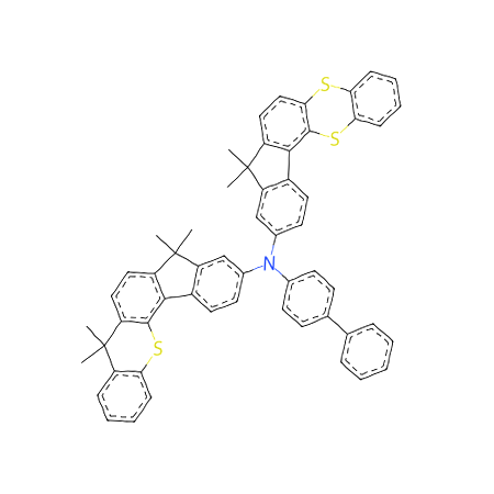 CC1(C)c2ccccc2Sc2c1ccc1c2-c2ccc(N(c3ccc(-c4ccccc4)cc3)c3ccc4c(c3)C(C)(C)c3ccc5c(c3-4)Sc3ccccc3S5)cc2C1(C)C